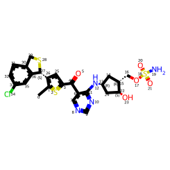 Cc1sc(C(=O)c2cncnc2N[C@@H]2C[C@H](COS(N)(=O)=O)[C@@H](O)C2)cc1[C@H]1SCc2ccc(Cl)cc21